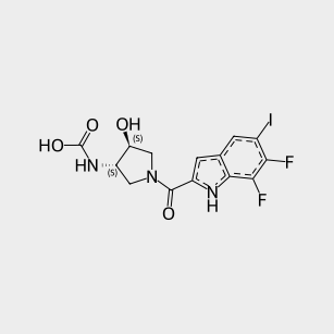 O=C(O)N[C@H]1CN(C(=O)c2cc3cc(I)c(F)c(F)c3[nH]2)C[C@@H]1O